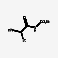 CCCC(CC)C(=O)NC(=O)OCC